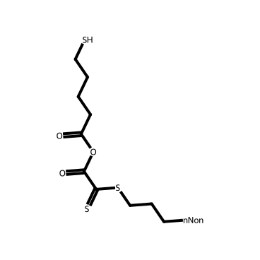 CCCCCCCCCCCCSC(=S)C(=O)OC(=O)CCCCS